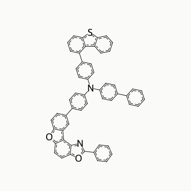 c1ccc(-c2ccc(N(c3ccc(-c4ccc5oc6ccc7oc(-c8ccccc8)nc7c6c5c4)cc3)c3ccc(-c4cccc5sc6ccccc6c45)cc3)cc2)cc1